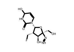 N=N[C@]1(CO)O[C@@H](N2C=CC(O)NC2=O)[C@@H](CF)[C@@H]1O